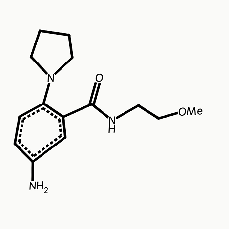 COCCNC(=O)c1cc(N)ccc1N1CCCC1